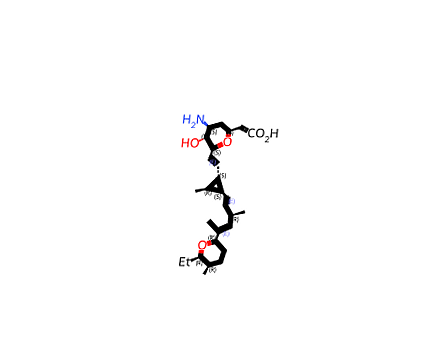 CC[C@H]1O[C@@H](/C(C)=C/[C@H](C)/C=C/[C@H]2[C@@H](C)[C@@H]2/C=C/[C@@H]2O[C@H](CC(=O)O)C[C@H](N)[C@H]2O)CC[C@H]1C